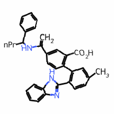 C=C(NC(CCC)c1ccccc1)c1ccc(-c2cc(C)ccc2-c2nc3ccccc3[nH]2)c(C(=O)O)c1